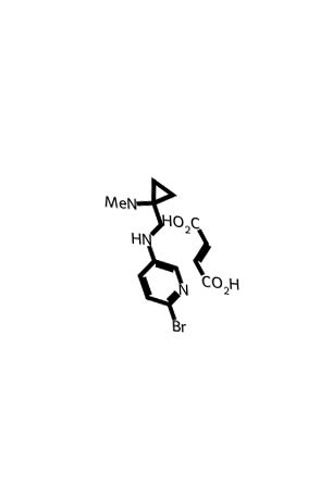 CNC1(CNc2ccc(Br)nc2)CC1.O=C(O)C=CC(=O)O